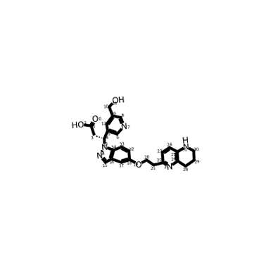 O=C(O)C[C@H](c1cncc(CO)c1)n1ncc2cc(OCCc3ccc4c(n3)CCCN4)ccc21